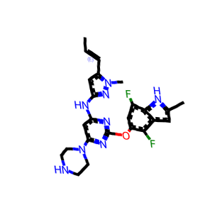 C/C=C/c1cc(Nc2cc(N3CCNCC3)nc(Oc3cc(F)c4[nH]c(C)cc4c3F)n2)nn1C